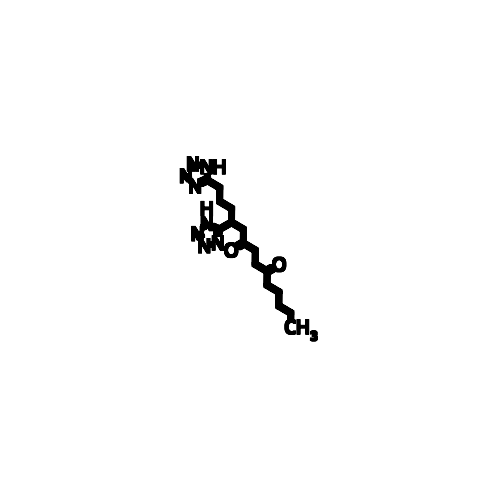 CCCCCC(=O)CCC(=O)CC(CCCc1nnn[nH]1)c1nnn[nH]1